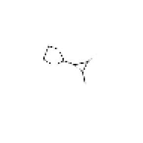 CC1C(C=O)C1C1OCCO1